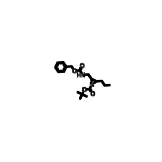 CCCC1C(CNC(=O)OCc2ccccc2)N1C(=O)OC(C)(C)C